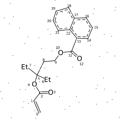 C=CC(=O)OC(CC)(CC)CCOC(=O)c1cccc2ccccc12